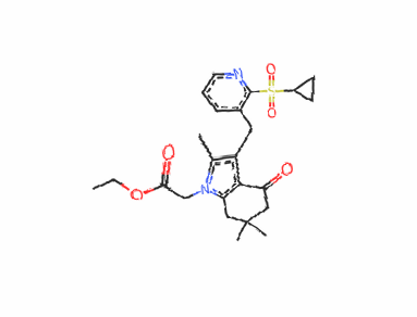 CCOC(=O)Cn1c(C)c(Cc2cccnc2S(=O)(=O)C2CC2)c2c1CC(C)(C)CC2=O